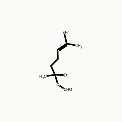 CCC/C(C)=C/CCC(C)(CC)OC=O